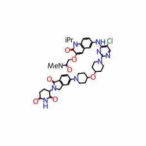 CNC(=O)COc1cc2cc(Nc3nc(N4CCC(OC5CCN(c6ccc7c(c6)CN(C6CCC(=O)NC6=O)C7=O)CC5)CC4)ncc3Cl)ccc2n(C(C)C)c1=O